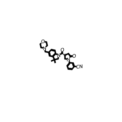 CC1(C)CN(C(=O)[C@H]2CC(=O)N(c3cccc(C#N)c3)C2)c2ccc(CN3CCOCC3)cc21